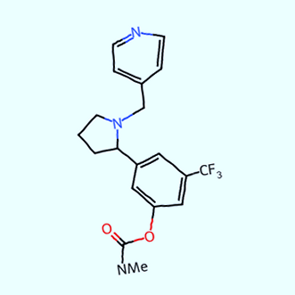 CNC(=O)Oc1cc(C2CCCN2Cc2ccncc2)cc(C(F)(F)F)c1